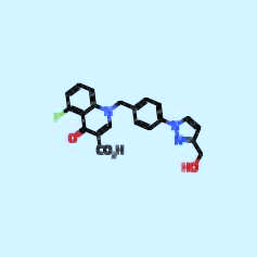 O=C(O)c1cn(Cc2ccc(-n3ccc(CO)n3)cc2)c2cccc(F)c2c1=O